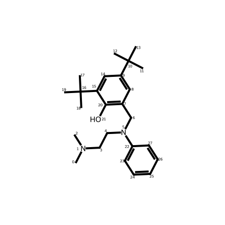 CN(C)CCN(Cc1cc(C(C)(C)C)cc(C(C)(C)C)c1O)c1ccccc1